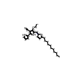 CCCCCCCCCCCC1=N/C(=C/c2[nH]c(-c3ccc[nH]3)c(C#N)c2OCC)C=C1